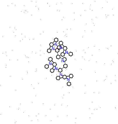 c1ccc(-n2c3ccccc3c3cc4c(cc32)c2ccccc2n4-c2cc(-c3cccc(-c4cccc(-c5cccc(-c6cc(-n7c8ccccc8c8ccc9c(c%10ccccc%10n9-c9ccccc9)c87)cc(-n7c8ccccc8c8ccc9c%10ccccc%10n(-c%10ccccc%10)c9c87)c6)c5)n4)c3)cc(-n3c4ccccc4c4c3ccc3c5ccccc5n(-c5ccccc5)c34)c2)cc1